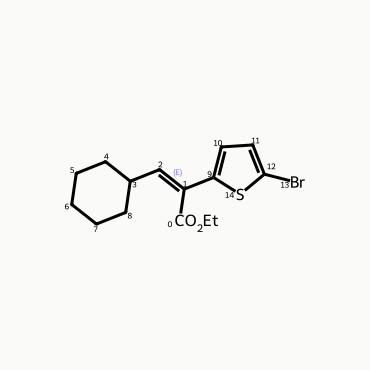 CCOC(=O)/C(=C\C1CCCCC1)c1ccc(Br)s1